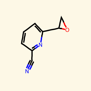 N#Cc1cccc(C2CO2)n1